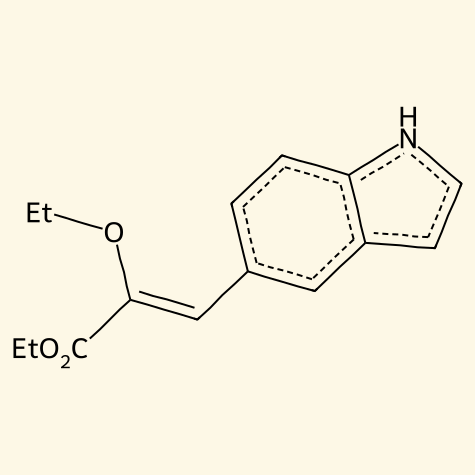 CCOC(=O)C(=Cc1ccc2[nH]ccc2c1)OCC